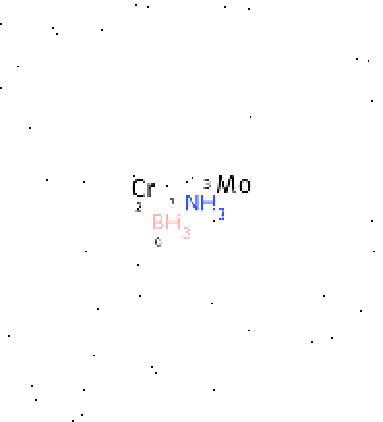 B.N.[Cr].[Mo]